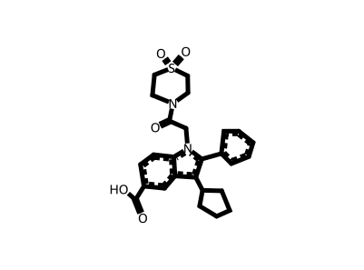 O=C(O)c1ccc2c(c1)c(C1CCCC1)c(-c1ccccc1)n2CC(=O)N1CCS(=O)(=O)CC1